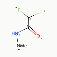 CNNC(=O)C(F)F